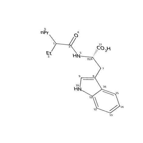 CCCC(CC)C(=O)N[C@@H](Cc1c[nH]c2ccccc12)C(=O)O